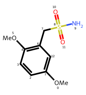 COc1ccc(OC)c(CS(N)(=O)=O)c1